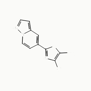 O=C(O)c1oc(-c2ccn3nccc3c2)nc1C(F)(F)F